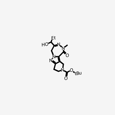 CCC(O)C1=NN(C)C(=O)c2c3c(nn2C1)CCN(C(=O)OC(C)(C)C)C3